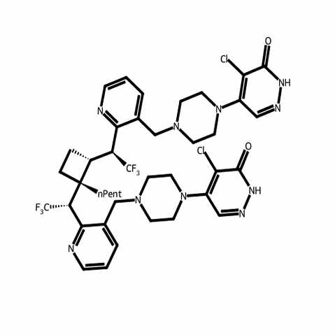 CCCCC[C@@]1([C@H](c2ncccc2CN2CCN(c3cn[nH]c(=O)c3Cl)CC2)C(F)(F)F)CC[C@@H]1[C@@H](c1ncccc1CN1CCN(c2cn[nH]c(=O)c2Cl)CC1)C(F)(F)F